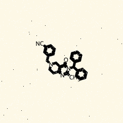 Cc1nc2c(c(=O)n1C(c1ccccc1)c1ccccc1)CN(Cc1cccc(C#N)c1)CC2